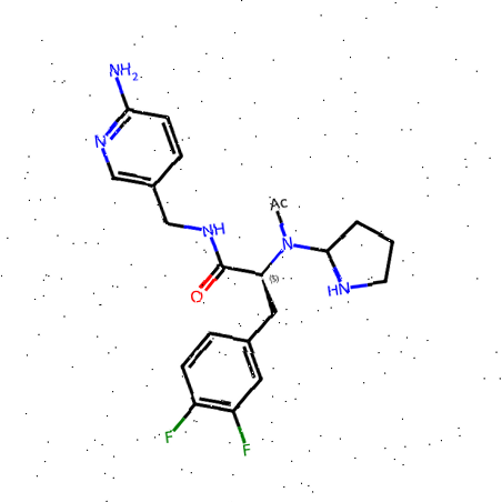 CC(=O)N(C1CCCN1)[C@@H](Cc1ccc(F)c(F)c1)C(=O)NCc1ccc(N)nc1